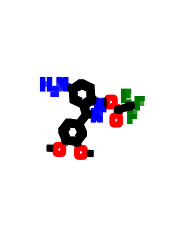 COc1ccc(-c2nn(OC(=O)C(F)(F)F)c3ccc(N)cc23)cc1OC